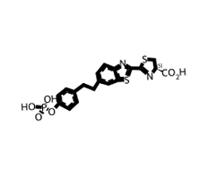 O=C(O)[C@H]1CSC(c2nc3ccc(CCc4ccc(OP(=O)(O)O)cc4)cc3s2)=N1